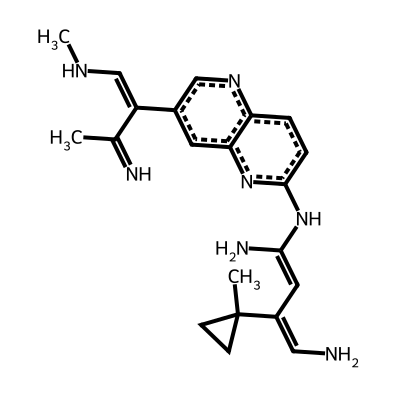 CN/C=C(\C(C)=N)c1cnc2ccc(N/C(N)=C/C(=C\N)C3(C)CC3)nc2c1